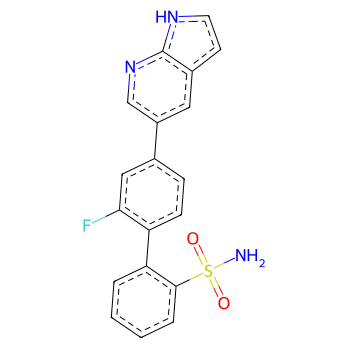 NS(=O)(=O)c1ccccc1-c1ccc(-c2cnc3[nH]ccc3c2)cc1F